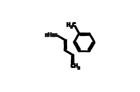 C=CC=CCCCCCC.Cc1ccccc1